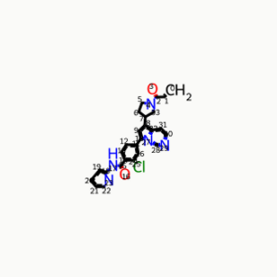 C=CC(=O)N1CCC(c2cc(-c3ccc(C(=O)Nc4ccccn4)c(Cl)c3)n3cnccc23)C1